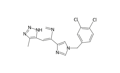 C=N/C(=C\c1[nH]nnc1C)c1cn(Cc2ccc(Cl)c(Cl)c2)cn1